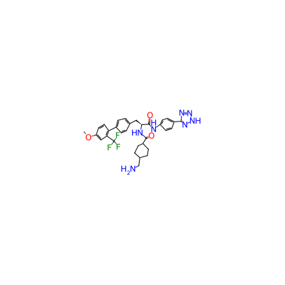 COc1ccc(-c2ccc(C[C@H](NC(=O)C3CCC(CN)CC3)C(=O)Nc3ccc(-c4nn[nH]n4)cc3)cc2)c(C(F)(F)F)c1